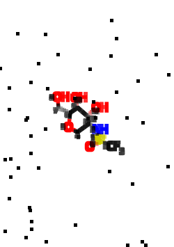 [O-][S+](N[C@@H]1CO[C@H](CO)[C@H](O)[C@@H]1O)C(F)(F)F